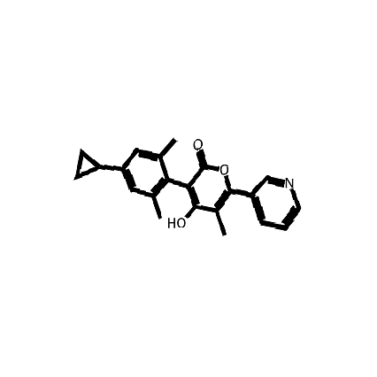 Cc1cc(C2CC2)cc(C)c1-c1c(O)c(C)c(-c2cccnc2)oc1=O